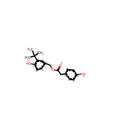 CC(C)(C)c1cc(COC(=O)Cc2ccc(O)cc2)ccc1O